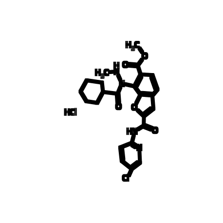 CNN(C(=O)C1CCCCC1)c1c(C(=O)OC)ccc2cc(C(=O)Nc3ccc(Cl)cn3)oc12.Cl